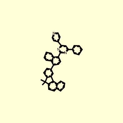 CC1(C)c2ccc(-c3ccc(-c4nc(-c5ccccc5)cc(-c5ccncc5)n4)c4ccccc34)cc2-c2c1ccc1ccccc21